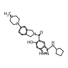 CN1CCN(c2ccc3c(c2)CN(C(=O)c2cc4c(NC5CCCC5)n[nH]c4cc2O)C3)CC1